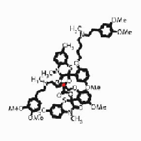 COc1ccc(OCCCCN(C)CCc2ccc(OC)c(OC)c2)c(C2(OC(=O)C(=O)OC3(c4cc(OC)ccc4OCCCCN(C)CCc4ccc(OC)c(OC)c4)Sc4cc(C)ccc4N(C)C3=O)Sc3cc(C)ccc3N(C)C2=O)c1